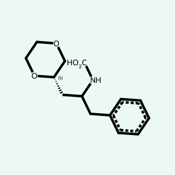 O=C(O)NC(Cc1ccccc1)C[C@H]1COCCO1